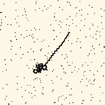 CCCCCCCCCCCCCCCCCCCCCCCCc1cc(C)cc(-n2nc3ccccc3n2)c1O